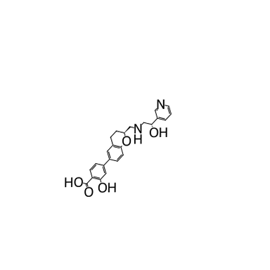 O=C(O)c1ccc(-c2ccc3c(c2)CC[C@@H](CNC[C@@H](O)c2cccnc2)O3)cc1O